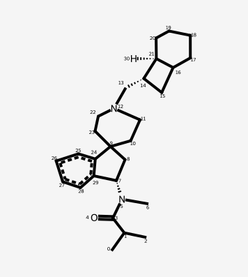 CC(C)C(=O)N(C)[C@H]1CC2(CCN(C[C@H]3CC4CCCC[C@@H]43)CC2)c2ccccc21